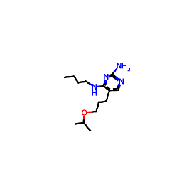 CCCCNc1nc(N)ncc1CCCOC(C)C